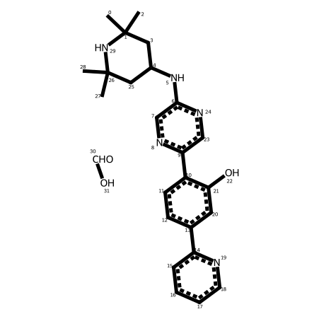 CC1(C)CC(Nc2cnc(-c3ccc(-c4ccccn4)cc3O)cn2)CC(C)(C)N1.O=CO